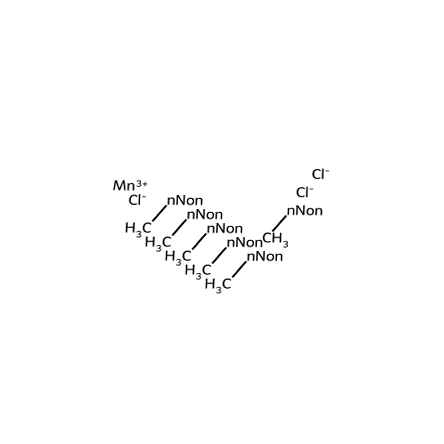 CCCCCCCCCC.CCCCCCCCCC.CCCCCCCCCC.CCCCCCCCCC.CCCCCCCCCC.CCCCCCCCCC.[Cl-].[Cl-].[Cl-].[Mn+3]